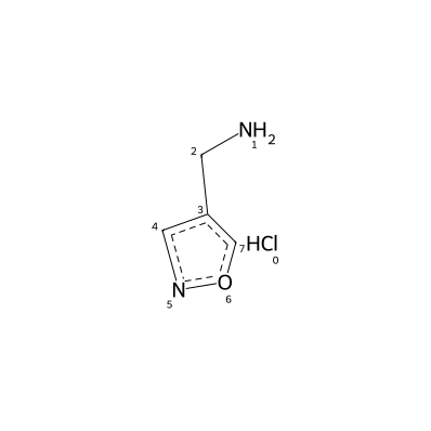 Cl.NCc1cnoc1